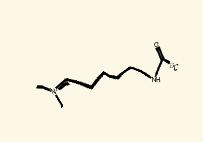 C[N+](C)=CCCCCNC([13CH3])=O